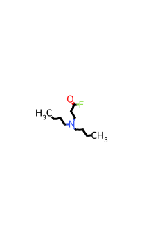 CCCCN(CCCC)CCC(=O)F